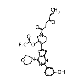 C/C=C/C(=O)CCC(=O)N1CCC(c2cc3nc(-c4cccc(O)c4)nc(N4CCOCC4)c3s2)=C(OC(=O)C(F)(F)F)C1